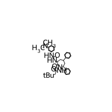 CN(C)c1cccc(NC(=O)NC2CC(c3ccccc3)CC(c3ccccc3)N(NC(=O)CC(C)(C)C)C2=O)c1